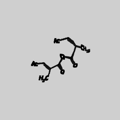 CC(=O)C=C(C)C(=O)OC(=O)C(C)=CC(C)=O